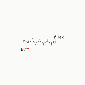 CCCCCC/C=C\CCCCCC(C)OCC